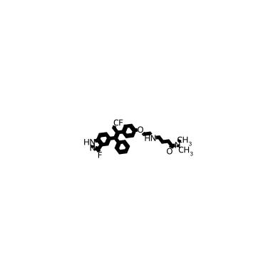 CN(C)C(=O)CCCNCCOc1ccc(/C(CC(F)(F)F)=C(\c2ccccc2)c2ccc3[nH]nc(F)c3c2)cc1